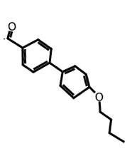 CCCCOc1ccc(-c2ccc([C]=O)cc2)cc1